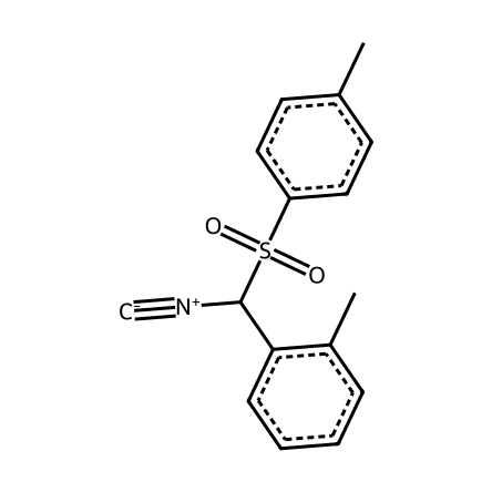 [C-]#[N+]C(c1ccccc1C)S(=O)(=O)c1ccc(C)cc1